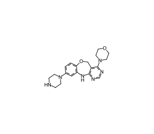 c1nc2c(c(N3CCOCC3)n1)COc1ccc(N3CCNCC3)cc1N2